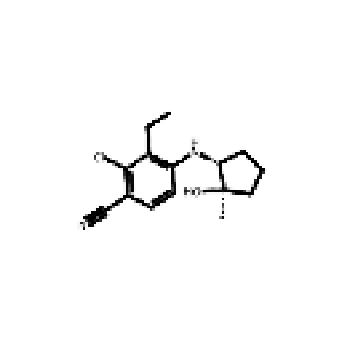 CCc1c(N[C@H]2CCC[C@@]2(C)O)ccc(C#N)c1Cl